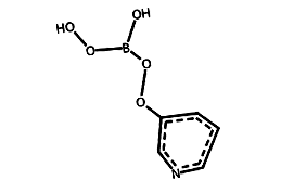 OOB(O)OOc1cccnc1